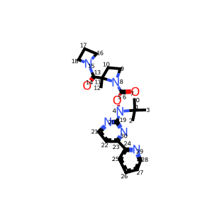 CC(C)(C)N(OC(=O)N1CCC1(C)C(=O)N1CCC1)c1nccc(-c2ccccn2)n1